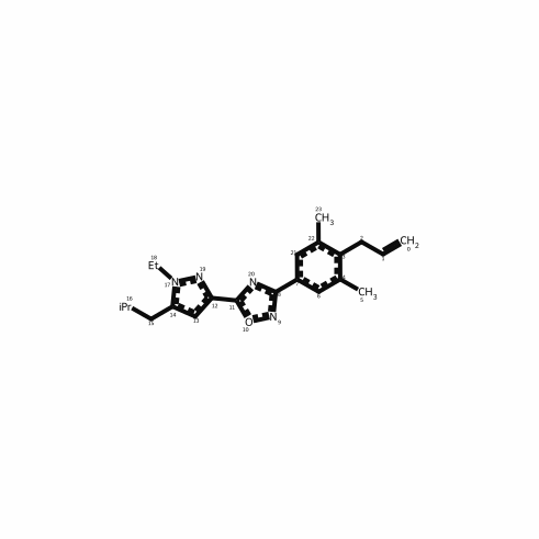 C=CCc1c(C)cc(-c2noc(-c3cc(CC(C)C)n(CC)n3)n2)cc1C